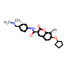 CCCc1c(OC2CCCC2)ccc2cc(C(=O)Nc3ccc(CN(C)C)cc3)c(=O)oc12